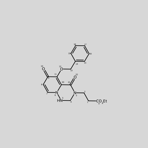 CCOC(=O)CCN1CNn2ccc(=O)c(OCc3ccccc3)c2C1=O